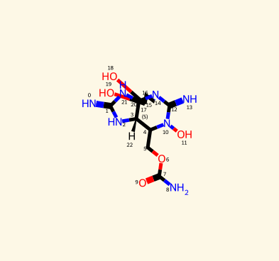 N=C1N[C@H]2C(COC(N)=O)N(O)C(=N)N3CCC(O)(O)C23N1